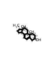 C[C@H]1CCC2C3=CC=C4C[C@@H](O)CC[C@]4(C)C3CC[C@@]21C